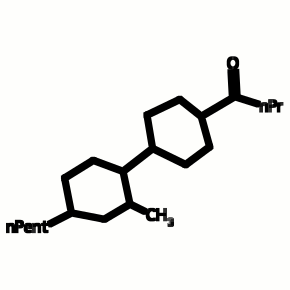 CCCCCC1CCC(C2CCC(C(=O)CCC)CC2)C(C)C1